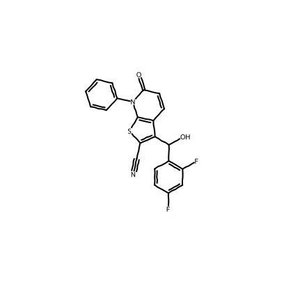 N#Cc1sc2c(ccc(=O)n2-c2ccccc2)c1C(O)c1ccc(F)cc1F